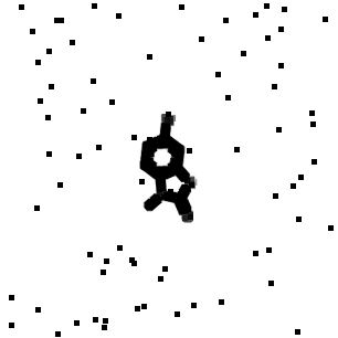 CN1C(=O)[N]c2cc(Br)ccc21